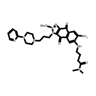 CO[n+]1nc2c(n1CCCN1CCN(c3ccccn3)CC1)C(=O)c1cc(NCCCC(=O)N(C)C)c([N+](=O)[O-])cc1C2=O